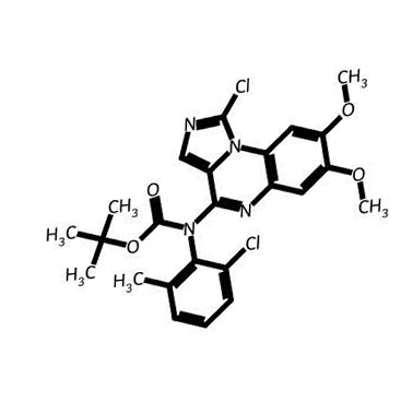 COc1cc2nc(N(C(=O)OC(C)(C)C)c3c(C)cccc3Cl)c3cnc(Cl)n3c2cc1OC